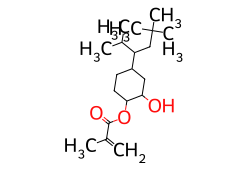 C=C(C)C(=O)OC1CCC(C(CC(C)(C)C)C(C)C)CC1O